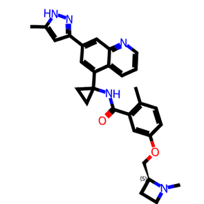 Cc1cc(-c2cc(C3(NC(=O)c4cc(OC[C@@H]5CCN5C)ccc4C)CC3)c3cccnc3c2)n[nH]1